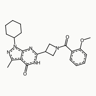 COc1ccccc1C(=O)N1CC(c2nc3c(c(C)nn3C3CCCCC3)c(=O)[nH]2)C1